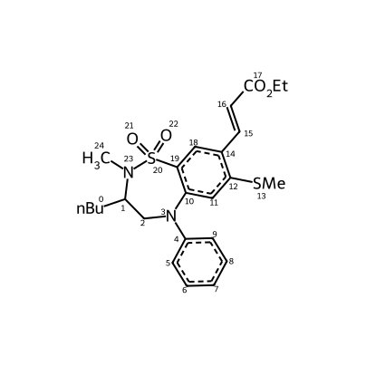 CCCCC1CN(c2ccccc2)c2cc(SC)c(/C=C/C(=O)OCC)cc2S(=O)(=O)N1C